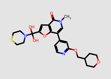 Cn1cc(-c2ccnc(OCC3CCOCC3)c2)c2oc(C(O)(O)N3CCSCC3)cc2c1=O